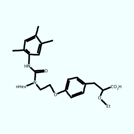 CCCCCCN(CCOc1ccc(CC(OCC)C(=O)O)cc1)C(=O)Nc1cc(C)c(C)cc1C